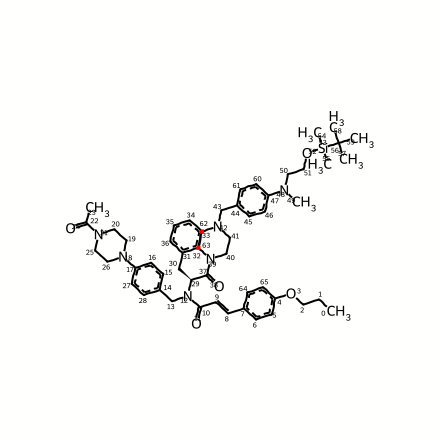 CCCOc1ccc(C=CC(=O)N(Cc2ccc(N3CCN(C(C)=O)CC3)cc2)[C@@H](Cc2ccccc2)C(=O)N2CCN(Cc3ccc(N(C)CCO[Si](C)(C)C(C)(C)C)cc3)CC2)cc1